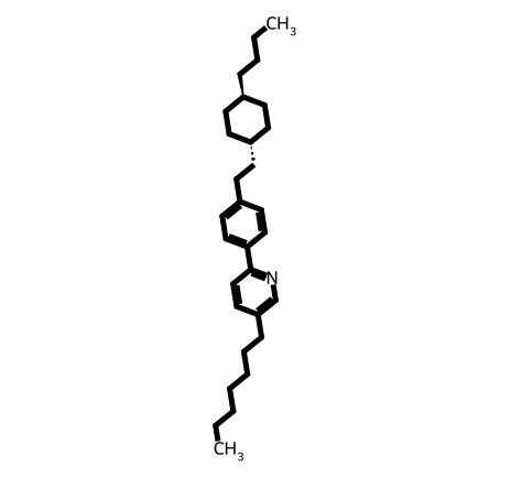 CCCCCCCc1ccc(-c2ccc(CC[C@H]3CC[C@H](CCCC)CC3)cc2)nc1